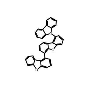 c1ccc2c(c1)oc1cccc(-c3cccc4c3oc3cccc(-n5c6ccccc6c6ccccc65)c34)c12